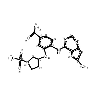 Cc1cc2ncnc(Nc3ccc(C(N)=O)cc3OC3CCN(S(C)(=O)=O)C3)c2s1